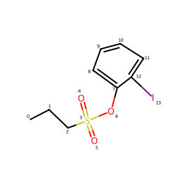 CCCS(=O)(=O)Oc1ccccc1I